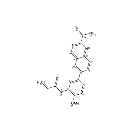 C=CC(=O)Nc1cc(-c2ccc3nc(C(N)=O)ncc3c2)ccc1OC